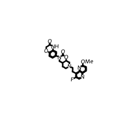 COc1ccc2ncc(F)c(CCN3CCC4CN(c5ccc6c(c5)NC(=O)CO6)C(=O)OC4C3)c2n1